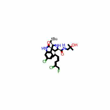 CC(/C=C\C=C(\Cl)CF)[C@H]1[C@H](C(=O)NCC(C)(C)O)N[C@H](CC(C)(C)C)[C@]12C(=O)Nc1cc(Cl)ccc12